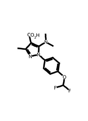 Cc1nn(-c2ccc(OC(F)F)cc2)c(N(C)C)c1C(=O)O